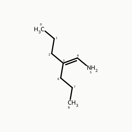 CCCC(=CN)CCC